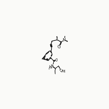 CC(CO)NC(=O)c1cccc(C#CCC(C)C(=O)N(C)C)c1